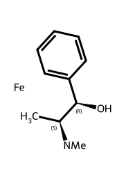 CN[C@@H](C)[C@H](O)c1ccccc1.[Fe]